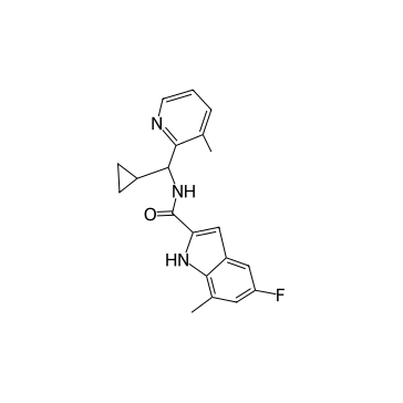 Cc1cccnc1C(NC(=O)c1cc2cc(F)cc(C)c2[nH]1)C1CC1